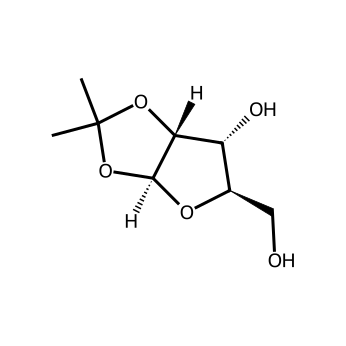 CC1(C)O[C@@H]2O[C@H](CO)[C@@H](O)[C@H]2O1